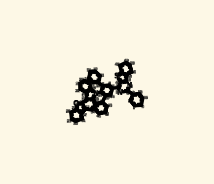 c1ccc(-c2nc(-c3cc(-c4ccccc4)c(-n4c5ccccc5c5c6oc7ccccc7c6ccc54)c(-c4ccccc4)c3)c3sc4ccccc4c3n2)cc1